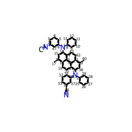 [C-]#[N+]c1cccc(N(c2ccccc2)c2cc(C)c3ccc4c(N(c5ccccc5)c5cccc(C#N)c5)cc(C)c5ccc2c3c54)c1